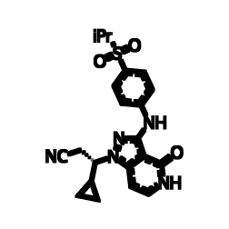 CC(C)S(=O)(=O)c1ccc(Nc2nn([C@@H](CC#N)C3CC3)c3cc[nH]c(=O)c23)cc1